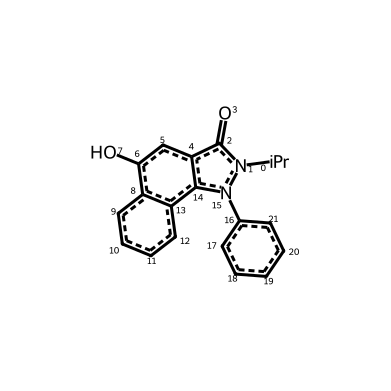 CC(C)n1c(=O)c2cc(O)c3ccccc3c2n1-c1ccccc1